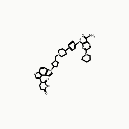 NC(=O)c1ncc(N2CCCCC2)nc1Nc1ccc(C2CCN(CC3CCC(n4ccc5c6c(C7CCC(=O)NC7=O)noc6ccc54)C3)CC2)cc1